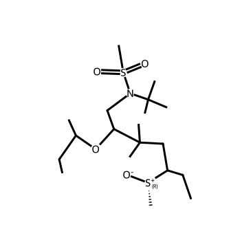 CCC(C)OC(CN(C(C)(C)C)S(C)(=O)=O)C(C)(C)CC(CC)[S@+](C)[O-]